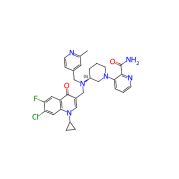 Cc1cc(CN(Cc2cn(C3CC3)c3cc(Cl)c(F)cc3c2=O)[C@H]2CCCN(c3cccnc3C(N)=O)C2)ccn1